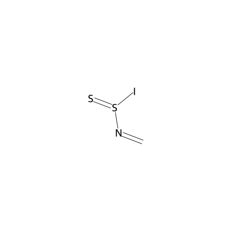 C=NS(=S)I